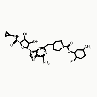 CC1CCC(C(C)C)C(OC(=O)N2CCC(Cc3nc(N)c4ncn([C@@H]5O[C@H](C(=O)NC6CC6)C(O)C5O)c4n3)CC2)C1